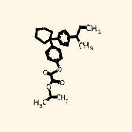 CCC(C)c1ccc(C2(c3ccc(OC(=O)C(=O)OC(C)C)cc3)CCCCC2)cc1